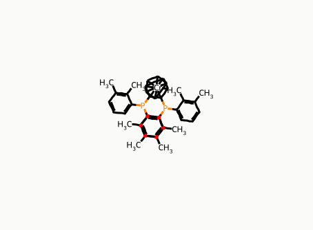 Cc1cccc(P(c2cccc(C)c2C)[C]23[CH]4[CH]5[CH]6[C]2(P(c2cccc(C)c2C)c2cccc(C)c2C)[Cr]54632789[CH]3[CH]2[CH]7[CH]8[CH]39)c1C